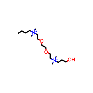 CCCC[N+](C)(C)CCOCCOCC[N+](C)(C)CCCO